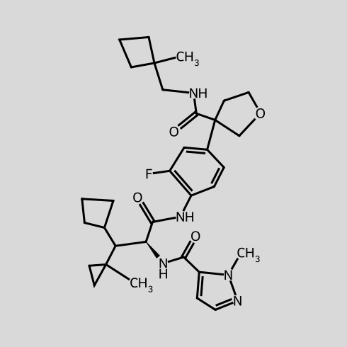 Cn1nccc1C(=O)N[C@H](C(=O)Nc1ccc(C2(C(=O)NCC3(C)CCC3)CCOC2)cc1F)C(C1CCC1)C1(C)CC1